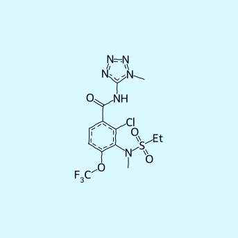 CCS(=O)(=O)N(C)c1c(OC(F)(F)F)ccc(C(=O)Nc2nnnn2C)c1Cl